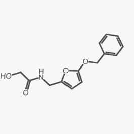 O=C(CO)NCc1ccc(OCc2ccccc2)o1